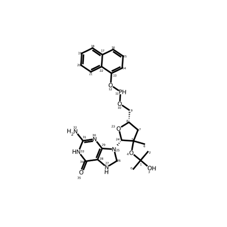 CC(C)(O)OC1(C)C[C@@H](COPOc2cccc3ccccc23)O[C@H]1N1CNc2c1nc(N)[nH]c2=O